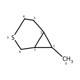 CC1C2CCSCC12